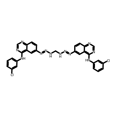 Clc1cccc(Nc2ncnc3ccc(/N=N/NCN/N=N/c4ccc5ncnc(Nc6cccc(Cl)c6)c5c4)cc23)c1